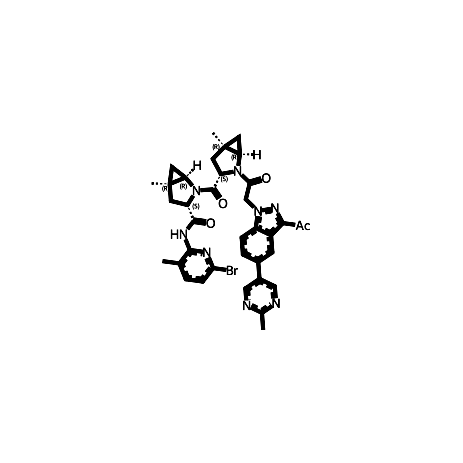 CC(=O)c1nn(CC(=O)N2[C@H](C(=O)N3[C@H](C(=O)Nc4nc(Br)ccc4C)C[C@@]4(C)C[C@@H]34)C[C@@]3(C)C[C@@H]23)c2ccc(-c3cnc(C)nc3)cc12